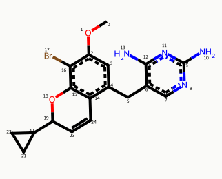 COc1cc(Cc2cnc(N)nc2N)c2c(c1Br)OC(C1CC1)C=C2